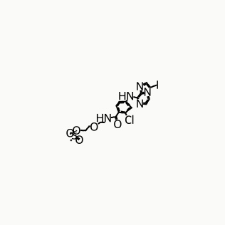 CS(=O)(=O)OCCOCCNC(=O)c1ccc(Nc2nccn3c(I)cnc23)cc1Cl